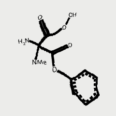 CNC(N)(C(=O)OO)C(=O)Oc1ccccc1